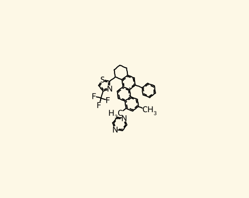 Cc1cc(C)c2ccc3c4c(cc(-c5ccccc5)c3c2c1)CCCC4c1nc(C(F)(F)F)cs1.c1cnccn1